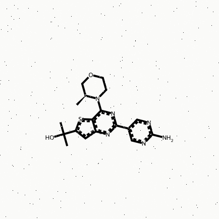 C[C@H]1COCCN1c1nc(-c2cnc(N)nc2)nc2cc(C(C)(C)O)sc12